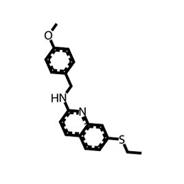 CCSc1ccc2ccc(NCc3ccc(OC)cc3)nc2c1